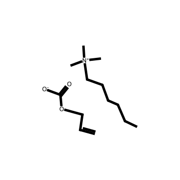 C=CCOC(=O)[O-].CCCCCC[N+](C)(C)C